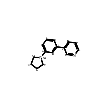 [c]1cncc(-c2cccc(N3CCCC3)c2)c1